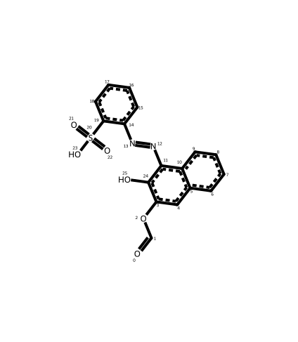 O=COc1cc2ccccc2c(N=Nc2ccccc2S(=O)(=O)O)c1O